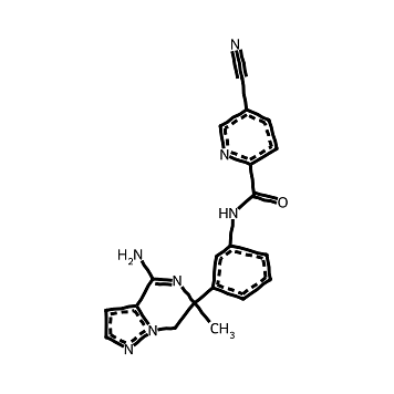 CC1(c2cccc(NC(=O)c3ccc(C#N)cn3)c2)Cn2nccc2C(N)=N1